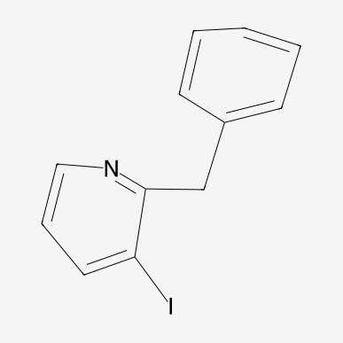 Ic1cccnc1Cc1ccccc1